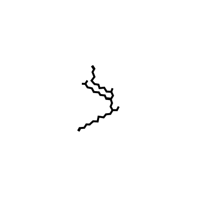 C=CCCCCCCCCCC(CC)CCC(=CCCCCCCC(C)C)CC(C)CCCCCCCCC=C